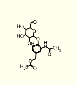 BC(=O)OCc1ccc(OC2OC(C=O)C(O)C(O)C2O)c(NC(C)=O)c1